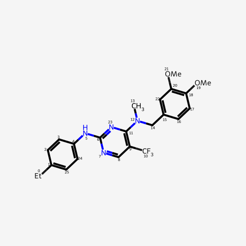 CCc1ccc(Nc2ncc(C(F)(F)F)c(N(C)Cc3ccc(OC)c(OC)c3)n2)cc1